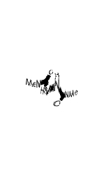 CNC(=O)NNC(=O)NC